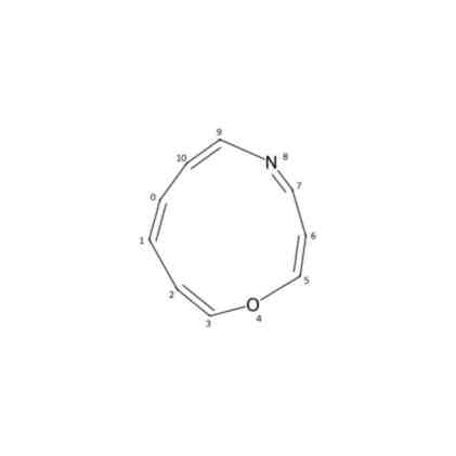 C1=CC=COC=CC=NC=C1